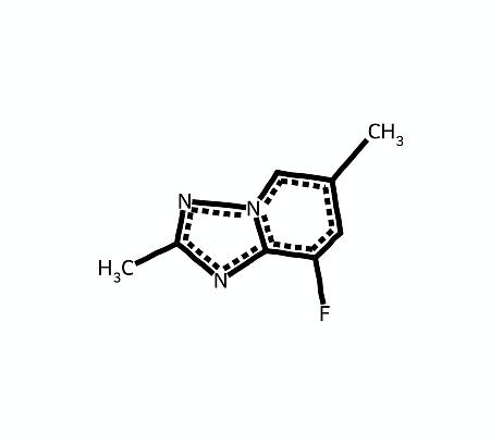 Cc1cc(F)c2nc(C)nn2c1